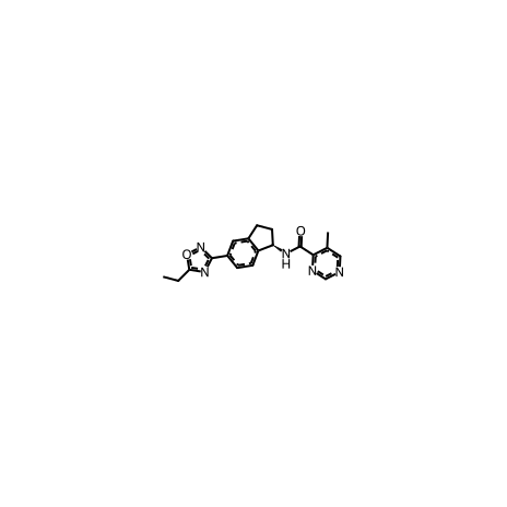 CCc1nc(-c2ccc3c(c2)CC[C@H]3NC(=O)c2ncncc2C)no1